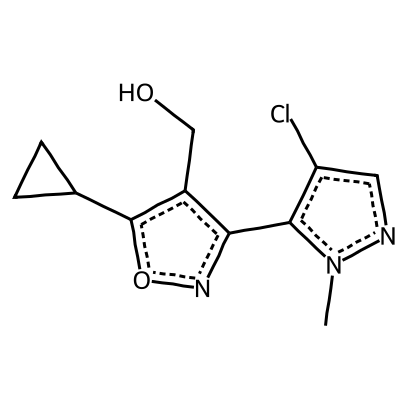 Cn1ncc(Cl)c1-c1noc(C2CC2)c1CO